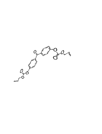 C=CCOC(=O)Oc1ccc(C(=O)c2ccc(OC(=O)OCC=C)cc2)cc1